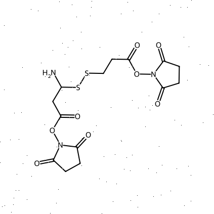 NC(CC(=O)ON1C(=O)CCC1=O)SSCCC(=O)ON1C(=O)CCC1=O